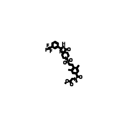 COC(=O)CN(C)C(=O)c1cc(C)c(/C=C/S(=O)(=O)N2CCC3(CC2)N=C(c2cccc(C(F)(F)F)c2)NC3=O)c(C)c1